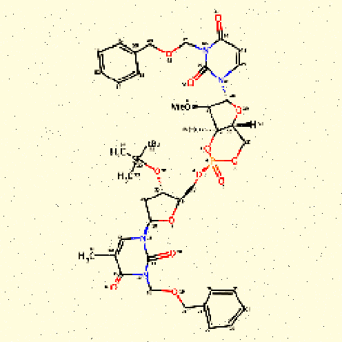 CO[C@@H]1[C@@H]2O[P@](=O)(OC[C@H]3O[C@@H](n4cc(C)c(=O)n(COCc5ccccc5)c4=O)C[C@@H]3O[Si](C)(C)C(C)(C)C)OC[C@H]2O[C@H]1n1ccc(=O)n(COCc2ccccc2)c1=O